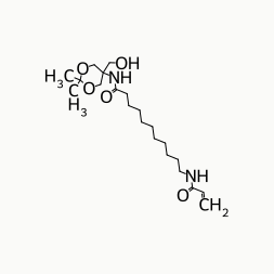 C=CC(=O)NCCCCCCCCCCC(=O)NC1(CO)COC(C)(C)OC1